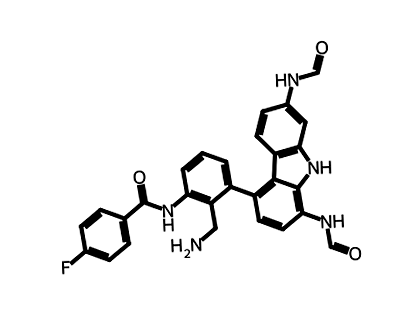 NCc1c(NC(=O)c2ccc(F)cc2)cccc1-c1ccc(NC=O)c2[nH]c3cc(NC=O)ccc3c12